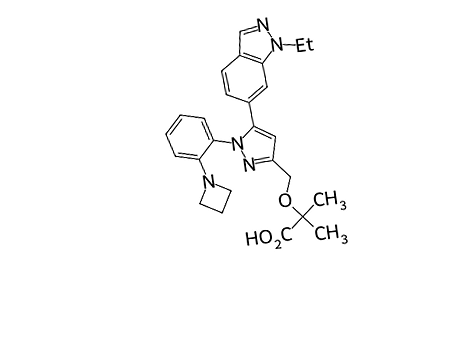 CCn1ncc2ccc(-c3cc(COC(C)(C)C(=O)O)nn3-c3ccccc3N3CCC3)cc21